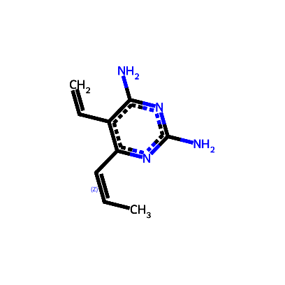 C=Cc1c(N)nc(N)nc1/C=C\C